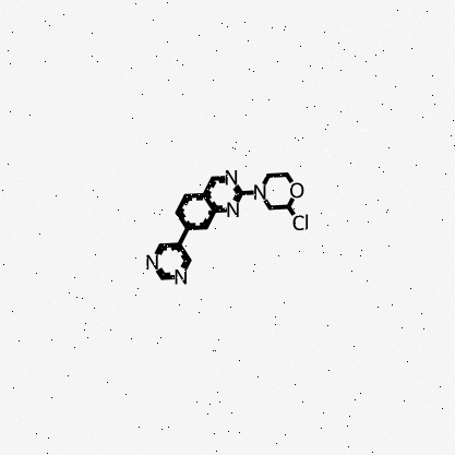 ClC1CN(c2ncc3ccc(-c4cncnc4)cc3n2)CCO1